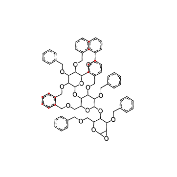 c1ccc(COCC2OC(OC3C(COCc4ccccc4)OC(OC4C(COCc5ccccc5)OC5OC5C4OCc4ccccc4)C(OCc4ccccc4)C3OCc3ccccc3)C(OCc3ccccc3)C(OCc3ccccc3)C2OCc2ccccc2)cc1